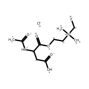 CC(=O)NC(CC(=O)O)C(=O)OCC[N+](C)(C)CF.[Cl-]